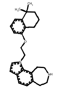 CC1(C)CCCc2c(OCCn3ccc4ccc5c(c43)CCNCC5)cccc21